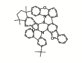 CC(C)(C)c1ccc(N2c3oc4cc5c(cc4c3B3c4c(cc6c(oc7ccccc76)c42)-c2cccc4c2N3c2ccccc2O4)C(C)(C)CCC5(C)C)c(-c2ccccc2)c1